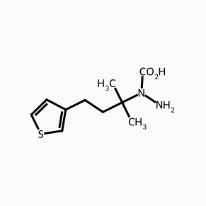 CC(C)(CCc1ccsc1)N(N)C(=O)O